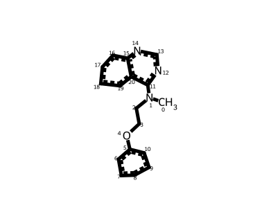 CN(CCOc1ccccc1)c1ncnc2ccccc12